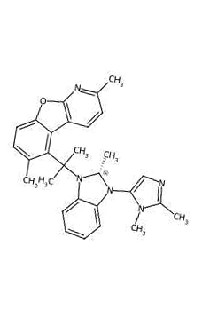 Cc1ccc2c(n1)oc1ccc(C)c(C(C)(C)N3c4ccccc4N(c4cnc(C)n4C)[C@H]3C)c12